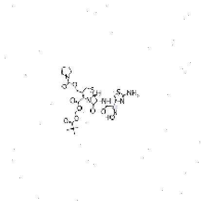 CC(C)(C)C(=O)OCOC(=O)C1=C(COC(=O)N2CCCC2)CS[C@@H]2C(NC(=O)/C(=N\O)c3csc(N)n3)C(=O)N12